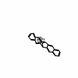 CCCCOC1C2c3cc4ccccc4cc3C1c1cc3ccccc3cc12